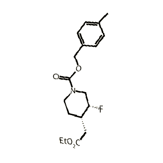 CCOC(=O)C[C@@H]1CCN(C(=O)OCc2ccc(C)cc2)C[C@@H]1F